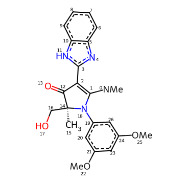 CNC1=C(c2nc3ccccc3[nH]2)C(=O)[C@](C)(CO)N1c1cc(OC)cc(OC)c1